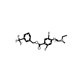 CCN(C)/C=N/c1cc(F)c(C(=O)OCc2cccc(C(F)(F)F)c2)cc1F